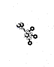 C/C=C\c1c(NCCOC2O[C@@H](C)[C@@H](OC(=O)c3ccccc3)[C@@H](OC(=O)c3ccccc3)[C@@H]2OC(=O)c2ccccc2)ccnc1C